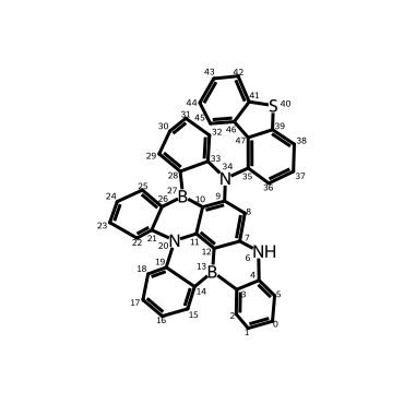 c1ccc2c(c1)Nc1cc3c4c5c1B2c1ccccc1N5c1ccccc1B4c1ccccc1N3c1cccc2sc3ccccc3c12